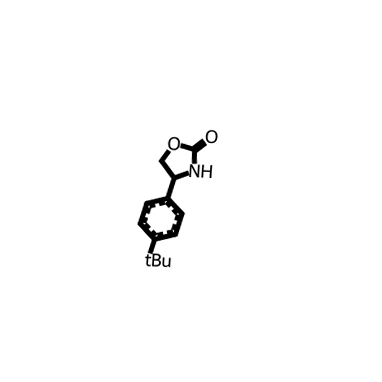 CC(C)(C)c1ccc(C2COC(=O)N2)cc1